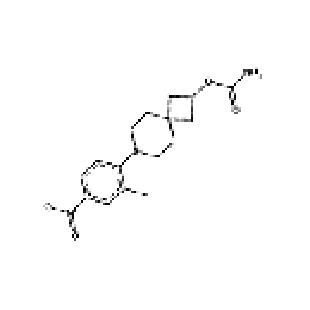 Cc1cc([N+](=O)[O-])ccc1N1CCC2(CC1)CC(OC(N)=O)C2